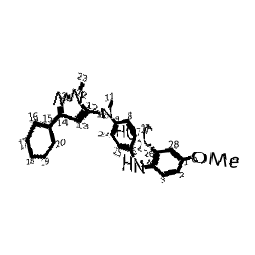 COc1ccc(Nc2ccc(N(C)c3cc(C4CCCCC4)nn3C)cc2)c(C(=O)O)c1